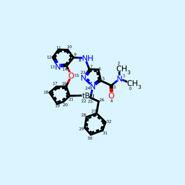 CN(C)C(=O)c1cc(Nc2cccnc2Oc2ccccc2C(C)(C)C)nn1CCc1ccccc1